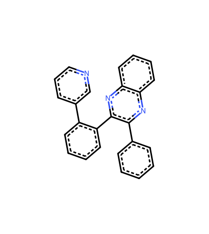 c1ccc(-c2nc3ccccc3nc2-c2ccccc2-c2cccnc2)cc1